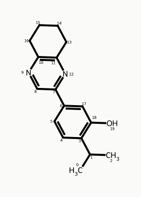 CC(C)c1ccc(-c2cnc3c(n2)CCCC3)cc1O